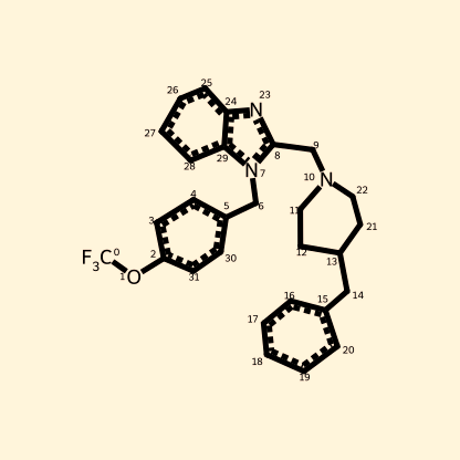 FC(F)(F)Oc1ccc(Cn2c(CN3CCC(Cc4ccccc4)CC3)nc3ccccc32)cc1